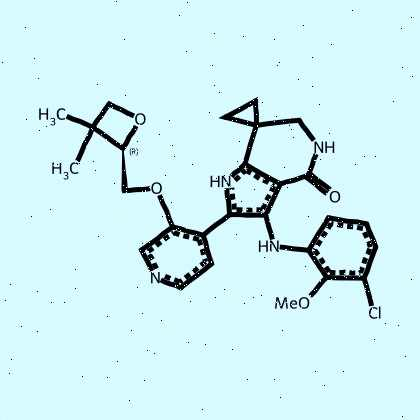 COc1c(Cl)cccc1Nc1c(-c2ccncc2OC[C@@H]2OCC2(C)C)[nH]c2c1C(=O)NCC21CC1